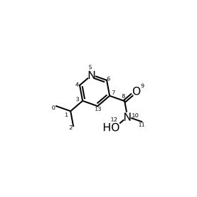 CC(C)c1cncc(C(=O)N(C)O)c1